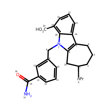 CCCC1CCCc2c(n(Cc3cccc(C(N)=O)c3)c3c(C(=O)O)cccc23)C1